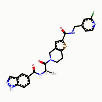 CC(C)(C)[C@@H](NC(=O)c1ccc2[nH]ncc2c1)C(=O)N1CCc2sc(C(=O)NCc3ccnc(F)c3)cc2C1